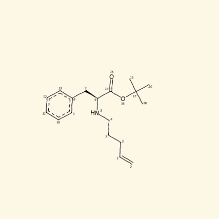 C=CCCCN[C@@H](Cc1ccccc1)C(=O)OC(C)(C)C